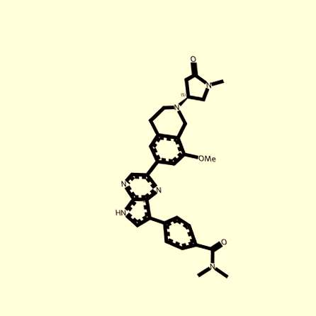 COc1cc(-c2cnc3[nH]cc(-c4ccc(C(=O)N(C)C)cc4)c3n2)cc2c1CN([C@H]1CC(=O)N(C)C1)CC2